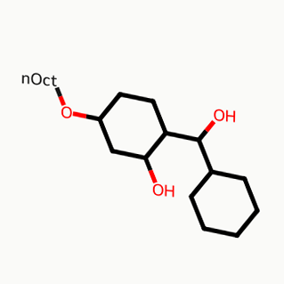 CCCCCCCCOC1CCC(C(O)C2CCCCC2)C(O)C1